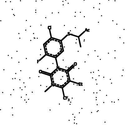 CCc1c(C(F)(F)F)n(C)c(=O)n(-c2cc(SC(C)C(C)=O)c(Cl)cc2F)c1=O